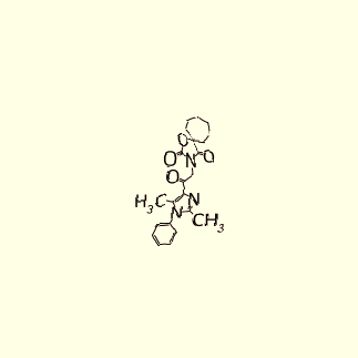 Cc1nc(C(=O)CN2C(=O)OC3(CCCCCC3)C2=O)c(C)n1-c1ccccc1